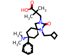 CN(C)[C@]1(c2ccccc2)CC[C@@]2(CC1)CN(CC(C)(C)C(=O)O)C(=O)N2CC1CCC1